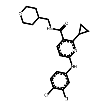 O=C(NCC1CCOCC1)c1ccc(Nc2ccc(Cl)c(Cl)c2)nc1C1CC1